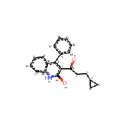 O=C(CCC1CC1)c1c(-c2ccccc2)c2ccccc2[nH]c1=O